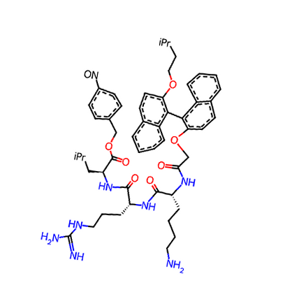 CC(C)CCOc1ccc2ccccc2c1-c1c(OCC(=O)N[C@H](CCCCN)C(=O)N[C@H](CCCNC(=N)N)C(=O)N[C@@H](CC(C)C)C(=O)OCc2ccc(N=O)cc2)ccc2ccccc12